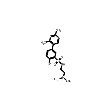 Cc1nc(N)ncc1-c1ccc(Br)c(S(=O)(=O)NCCN(C)C)c1